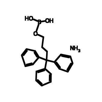 N.OB(O)OCCCC(c1ccccc1)(c1ccccc1)c1ccccc1